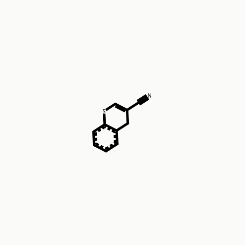 N#CC1=CSc2ccccc2C1